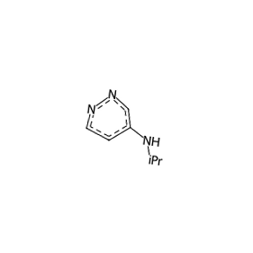 CC(C)Nc1ccnnc1